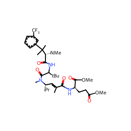 CN[C@H](C(=O)NC(C(=O)N(C)[C@H](/C=C(\C)C(=O)N[C@H](CCC(=O)OC)C(=O)OC)C(C)C)C(C)(C)C)C(C)(C)c1cccc(C(F)(F)F)c1